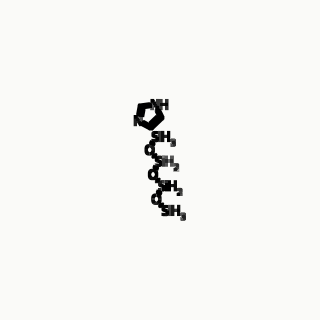 [SiH3]O[SiH2]O[SiH2]O[SiH3].c1c[nH]cn1